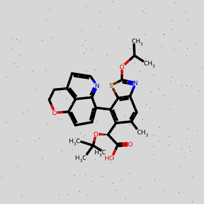 Cc1cc2nc(OC(C)C)sc2c(-c2ccc3c4c(ccnc24)CCO3)c1[C@H](OC(C)(C)C)C(=O)O